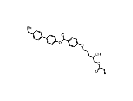 C=CC(=O)OCC(O)CCCOc1ccc(C(=O)Oc2ccc(-c3ccc(CC(C)CC)cc3)cc2)cc1